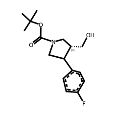 CC(C)(C)OC(=O)N1CC(c2ccc(F)cc2)[C@@H](CO)C1